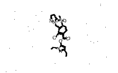 CCc1cc(OC(=O)c2ccc(S(C)(=O)=O)c(Cn3cccn3)c2Cl)n(CC)n1